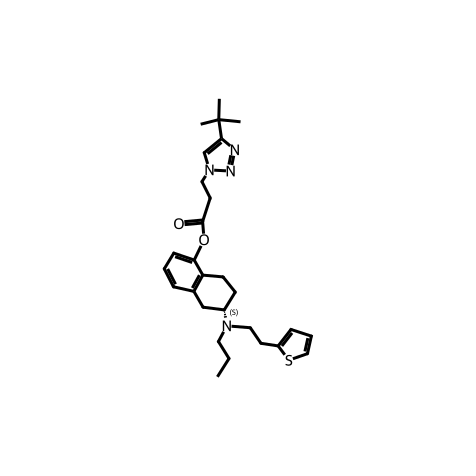 CCCN(CCc1cccs1)[C@H]1CCc2c(cccc2OC(=O)CCn2cc(C(C)(C)C)nn2)C1